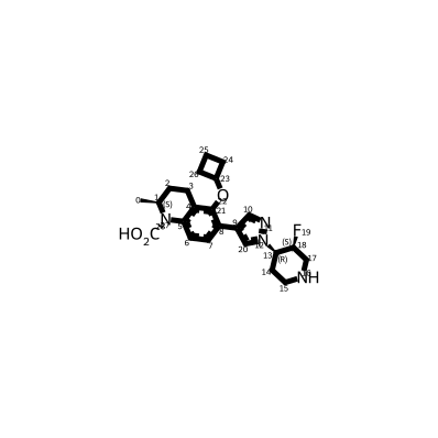 C[C@H]1CCc2c(ccc(-c3cnn([C@@H]4CCNC[C@@H]4F)c3)c2OC2CCC2)N1C(=O)O